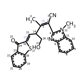 C/C(=C(\C#N)c1nc2ccccc2n1C)C(/C=C1\Sc2ccccc2C1=O)CO